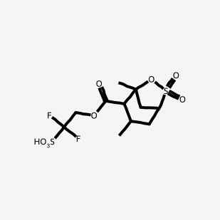 CC1CC2CC(C)(OS2(=O)=O)C1C(=O)OCC(F)(F)S(=O)(=O)O